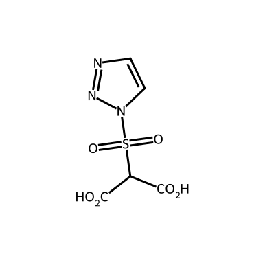 O=C(O)C(C(=O)O)S(=O)(=O)n1ccnn1